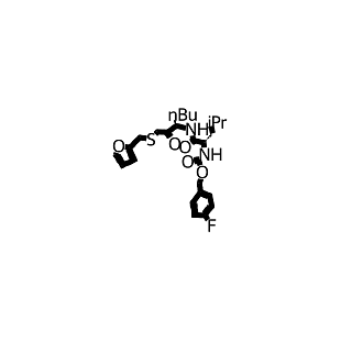 CCCC[C@H](NC(=O)[C@H](CC(C)C)NC(=O)OCc1ccc(F)cc1)C(=O)CSCc1ccco1